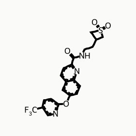 O=C(NCCC1CS(=O)(=O)C1)c1ccc2cc(Oc3ccc(C(F)(F)F)cn3)ccc2n1